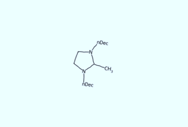 CCCCCCCCCCN1CCN(CCCCCCCCCC)C1C